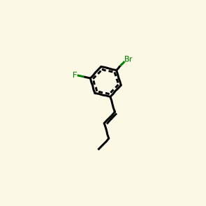 CCC=Cc1cc(F)cc(Br)c1